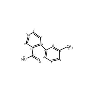 Cc1cccc(-c2ccncc2C(=O)O)c1